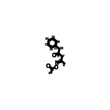 CC(=O)ON=C(C)CC(=O)Cc1ccccc1